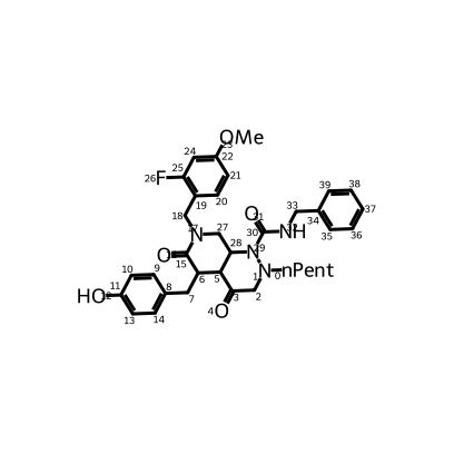 CCCCCN1CC(=O)C2C(Cc3ccc(O)cc3)C(=O)N(Cc3ccc(OC)cc3F)CC2N1C(=O)NCc1ccccc1